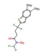 COc1cc2cc(C(F)(F)CCC(=O)N(O)C(F)F)sc2cc1OC